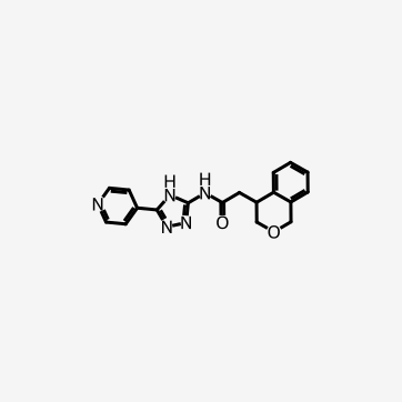 O=C(CC1COCc2ccccc21)Nc1nnc(-c2ccncc2)[nH]1